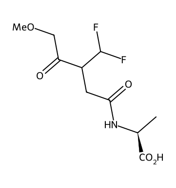 COCC(=O)C(CC(=O)N[C@@H](C)C(=O)O)C(F)F